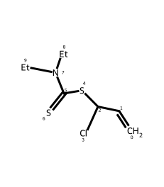 C=CC(Cl)SC(=S)N(CC)CC